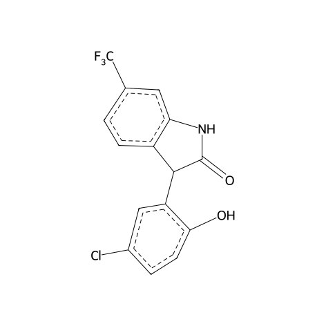 O=C1Nc2cc(C(F)(F)F)ccc2C1c1cc(Cl)ccc1O